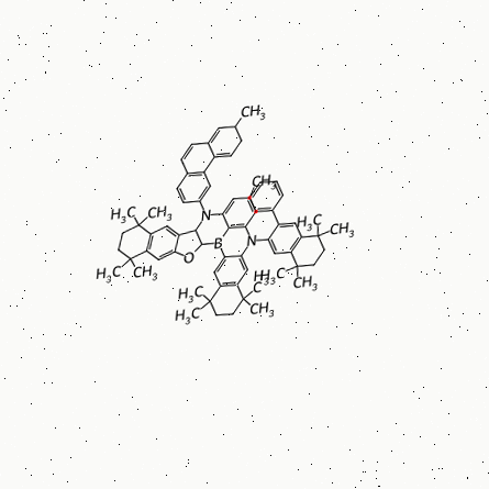 Cc1cc2c3c(c1)N(c1ccc4ccc5c(c4c1)=CCC(C)C=5)C1c4cc5c(cc4OC1B3c1cc3c(cc1N2c1cc2c(cc1-c1ccccc1)C(C)(C)CCC2(C)C)C(C)(C)CCC3(C)C)C(C)(C)CCC5(C)C